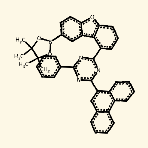 CC1(C)OB(c2ccc3oc4cccc(-c5nc(-c6ccccc6)nc(-c6cc7ccccc7c7ccccc67)n5)c4c3c2)OC1(C)C